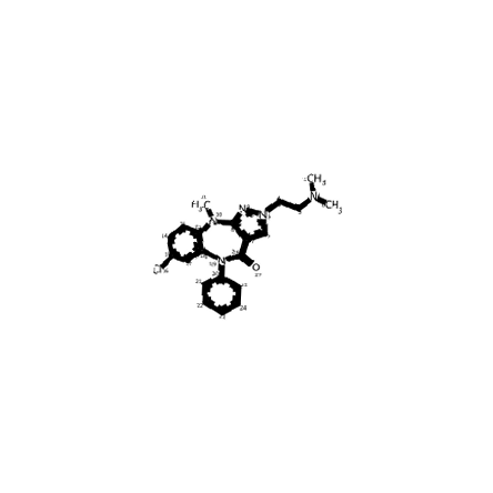 CN(C)CCn1cc2c(n1)N(C)c1ccc(Cl)cc1N(c1ccccc1)C2=O